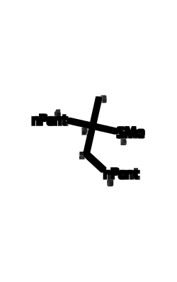 CCCCCCC(C)(CCCCC)SC